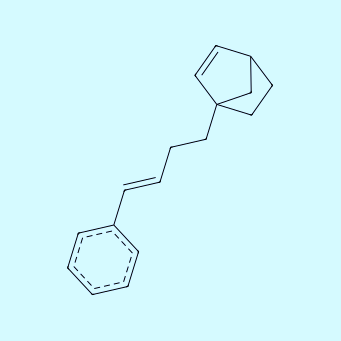 C(=Cc1ccccc1)CCC12C=CC(CC1)C2